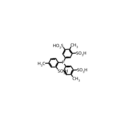 Cc1ccc(P(c2ccc(C)c(S(=O)(=O)O)c2)c2cc(S(=O)(=O)O)c(C)c(S(=O)(=O)O)c2)c(S(=O)(=O)O)c1